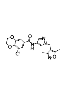 Cc1noc(C)c1Cn1cc(NC(=O)c2cc(Cl)c3c(c2)OCCO3)cn1